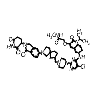 CNC(=O)COc1cc2cc(Nc3nc(N4CCN(CC5CCC6(CCN(c7ccc8c(c7)CN(C7CCC(=O)NC7=O)C8=O)C6)C5)CC4)ncc3Cl)ccc2n(C(C)C)c1=O